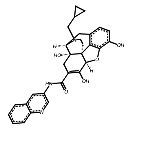 O=C(Nc1cnc2ccccc2c1)C1=C(O)[C@@H]2Oc3c(O)ccc4c3[C@@]23CCN(CC2CC2)[C@H](C4)[C@]3(O)C1